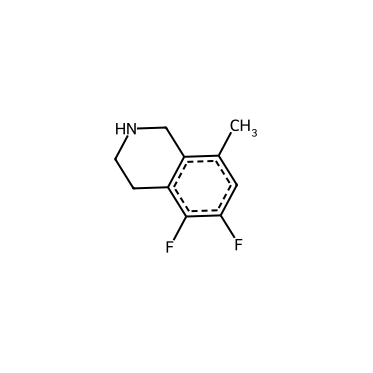 Cc1cc(F)c(F)c2c1CNCC2